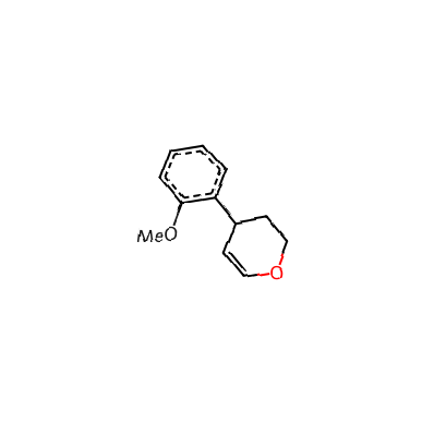 COc1ccccc1C1C=COCC1